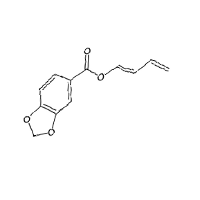 C=CC=COC(=O)c1ccc2c(c1)OCO2